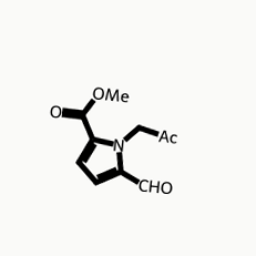 COC(=O)c1ccc(C=O)n1CC(C)=O